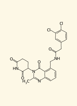 Cc1nc2cccc(CNC(=O)Cc3ccc(Cl)c(Cl)c3)c2c(=O)n1C1CCC(=O)NC1=O